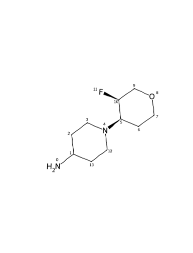 NC1CCN([C@@H]2CCOC[C@@H]2F)CC1